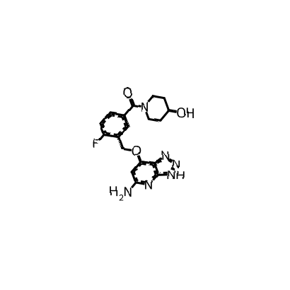 Nc1cc(OCc2cc(C(=O)N3CCC(O)CC3)ccc2F)c2nn[nH]c2n1